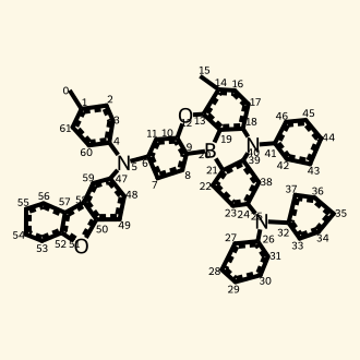 Cc1ccc(N(c2ccc3c(c2)Oc2c(C)ccc4c2B3c2ccc(N(c3ccccc3)c3ccccc3)cc2N4c2ccccc2)c2ccc3oc4ccccc4c3c2)cc1